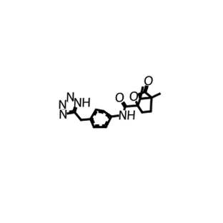 CC12CCC(C(=O)Nc3ccc(Cc4nnn[nH]4)cc3)(OC1=O)C2(C)C